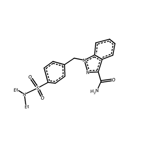 CCN(CC)S(=O)(=O)c1ccc(Cn2nc(C(N)=O)c3ccccc32)cc1